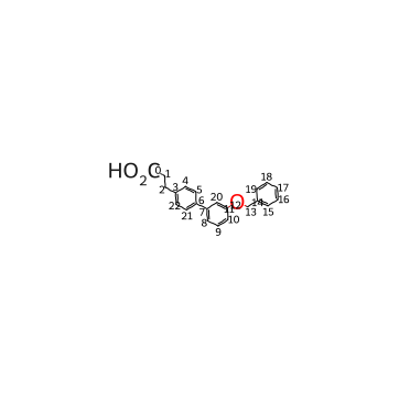 O=C(O)CCc1ccc(-c2cccc(OCc3ccccc3)c2)cc1